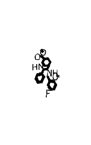 COC(=O)C1CCC2CC1NC(c1ccccc1)C2NCc1cc(F)ccc1OC